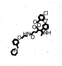 COc1ccc2[nH]c(C)c(C(CCC(=O)NCCCOc3cccc(CN4CCCCC4)c3)C(=O)OC(=O)c3ccc(Cl)cc3)c2c1